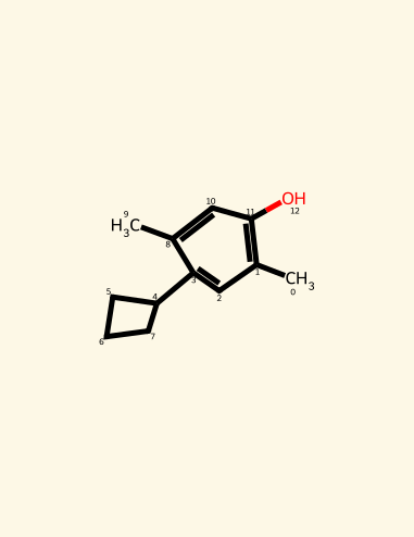 Cc1cc(C2CCC2)c(C)cc1O